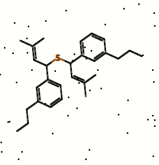 CCCc1cccc(C(C=C(C)C)SC(C=C(C)C)c2cccc(CCC)c2)c1